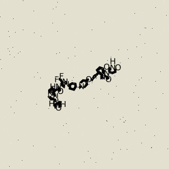 Cn1c(=O)n(C2CCC(=O)NC2=O)c2cccc(C#CCOC3CCN(C[C@H]4CC[C@H](n5cc(NC(=O)c6ccn7ccc(N8C[C@@H]9C[C@H]8CO9)nc67)c(C(F)F)n5)CC4)CC3)c21